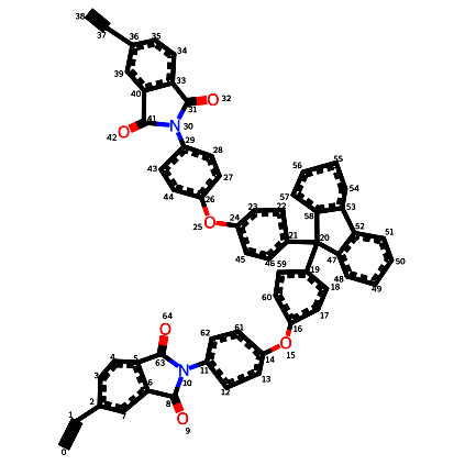 C#Cc1ccc2c(c1)C(=O)N(c1ccc(Oc3ccc(C4(c5ccc(Oc6ccc(N7C(=O)c8ccc(C#C)cc8C7=O)cc6)cc5)c5ccccc5-c5ccccc54)cc3)cc1)C2=O